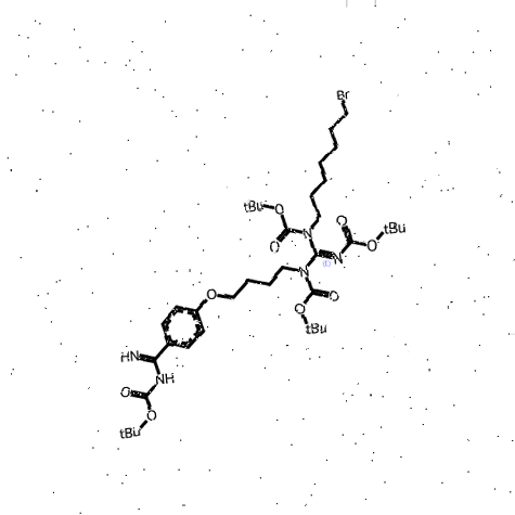 CC(C)(C)OC(=O)/N=C(\N(CCCCCCCBr)C(=O)OC(C)(C)C)N(CCCCOc1ccc(C(=N)NC(=O)OC(C)(C)C)cc1)C(=O)OC(C)(C)C